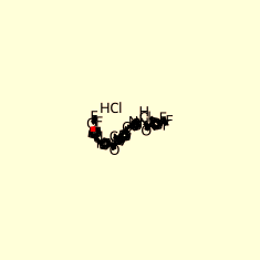 Cl.Cn1c(C(=O)N2CCN(Cc3ccc(OC(F)F)cc3)CC2)cc2ccc(Oc3ccc(NC(=O)c4ccc(C(F)(F)F)cc4Cl)cn3)cc21